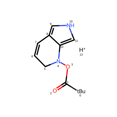 CC(C)(C)C(=O)ON1CC=Cc2c[nH]cc21.[H+]